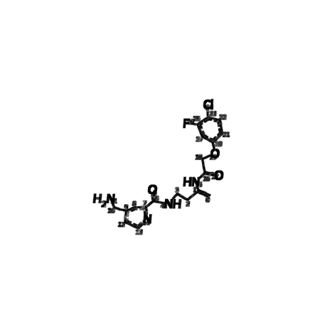 C=C(CCNC(=O)c1cc(CN)ccn1)NC(=O)COc1ccc(Cl)c(F)c1